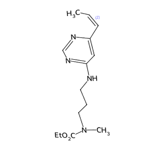 C/C=C\c1cc(NCCCN(C)C(=O)OCC)ncn1